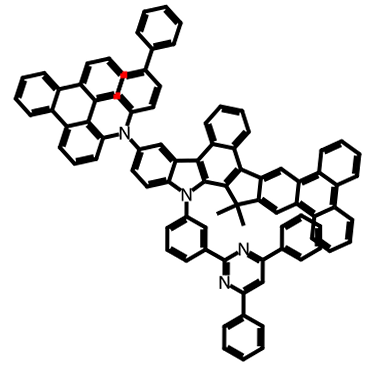 CC1(C)c2cc3c4ccccc4c4ccccc4c3cc2-c2c1c1c(c3ccccc23)c2cc(N(c3ccc(-c4ccccc4)cc3)c3cccc4c5ccccc5c5ccccc5c34)ccc2n1-c1cccc(-c2nc(-c3ccccc3)cc(-c3ccccc3)n2)c1